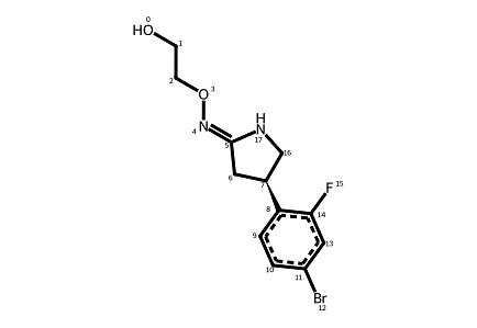 OCCO/N=C1/C[C@H](c2ccc(Br)cc2F)CN1